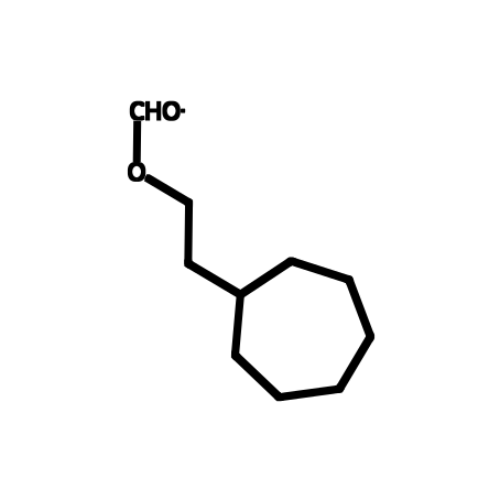 O=[C]OCCC1CCCCCC1